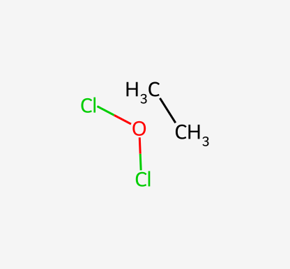 CC.ClOCl